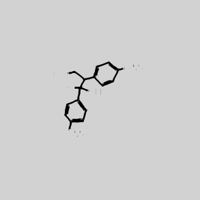 COc1ccc(C(CO)C(C)(C)c2ccc(OC)cc2)cc1